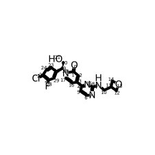 O=c1cc(-c2ccnc(NCC3COC3)n2)ccn1[C@H](CO)c1ccc(Cl)c(F)c1